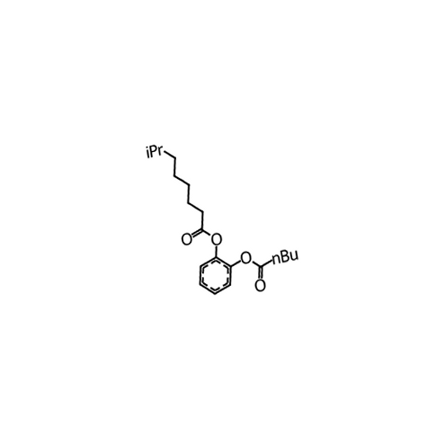 CCCCC(=O)Oc1ccccc1OC(=O)CCCCCC(C)C